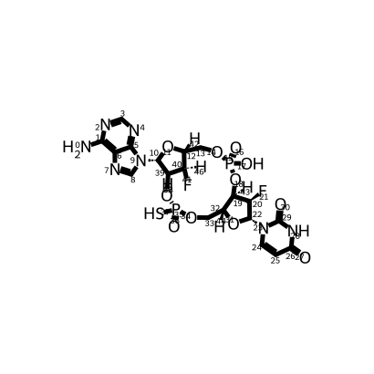 Nc1ncnc2c1ncn2[C@@H]1O[C@@H]2COP(=O)(O)O[C@H]3[C@@H](F)[C@H](n4ccc(=O)[nH]c4=O)O[C@@H]3COP(=O)(S)O[C@@H]1[C@@H]2F